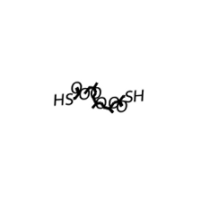 CC(COC(=O)CS)OCC(C)OCC(C)OC(=O)CS